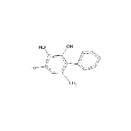 Cc1cc(O)c(O)c(O)c1-c1ccccc1